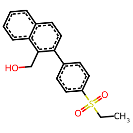 CCS(=O)(=O)c1ccc(-c2ccc3ccccc3c2CO)cc1